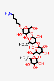 NCCCCCO[C@@H]1OC(CO)[C@@H](O[C@@H]2OC(C(=O)O)[C@@H](O)C(O[C@@H]3OC(CO)[C@@H](O[C@@H]4OC(C(=O)O)[C@@H](O)C(O)[C@@H]4O)C(O)[C@@H]3O)[C@@H]2O)C(O)[C@@H]1O